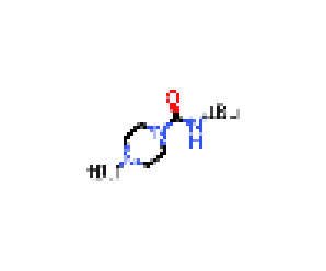 CC(C)(C)NC(=O)N1CCN(C(C)(C)C)CC1